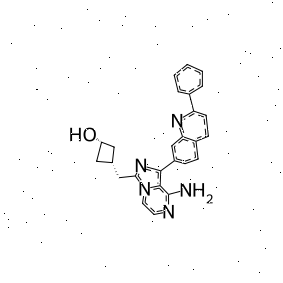 Nc1nccn2c(C[C@H]3C[C@@H](O)C3)nc(-c3ccc4ccc(-c5ccccc5)nc4c3)c12